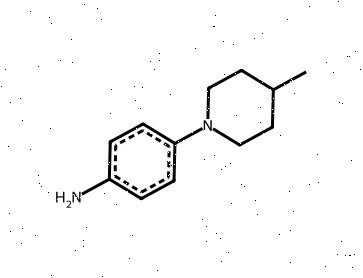 CC1CCN(c2ccc(N)cc2)CC1